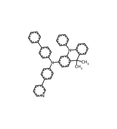 CC1(C)c2ccccc2N(c2ccccc2)c2cc(N(c3ccc(-c4ccccc4)cc3)c3ccc(-c4cccnc4)cc3)ccc21